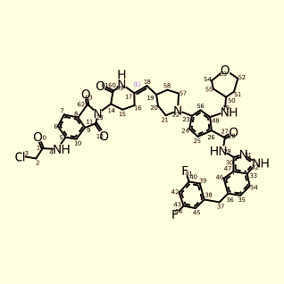 O=C(CCl)Nc1ccc2c(c1)C(=O)N(C1CC/C(=C\C3CCN(c4ccc(C(=O)Nc5n[nH]c6ccc(Cc7cc(F)cc(F)c7)cc56)c(NC5CCOCC5)c4)CC3)NC1=O)C2=O